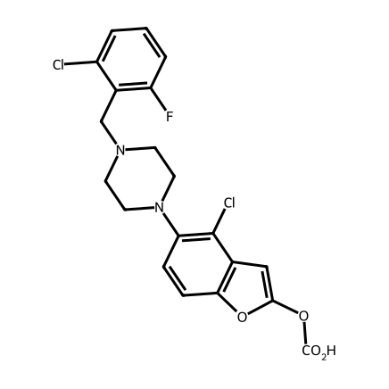 O=C(O)Oc1cc2c(Cl)c(N3CCN(Cc4c(F)cccc4Cl)CC3)ccc2o1